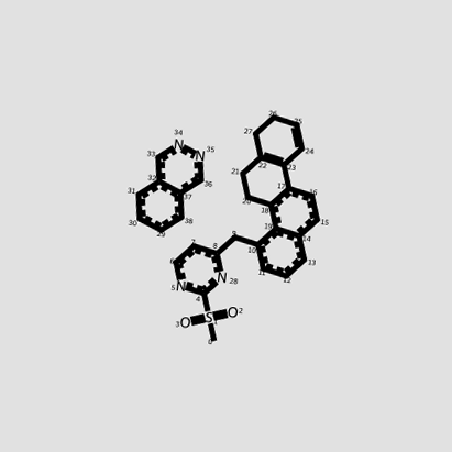 CS(=O)(=O)c1nccc(Cc2cccc3ccc4c(c23)CCC2=C4C=CCC2)n1.c1ccc2cnncc2c1